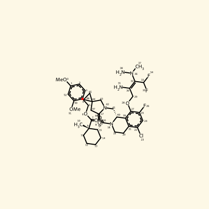 COc1ccc(COC(=O)[C@@]2(C)CCCC[C@H]2C(=O)N2CCc3c(Cl)cc(F)c(OC/C(N)=C(\C(F)F)N(C)N)c3[C@H]2CN2CC3(CC3)CC2=O)c(OC)c1